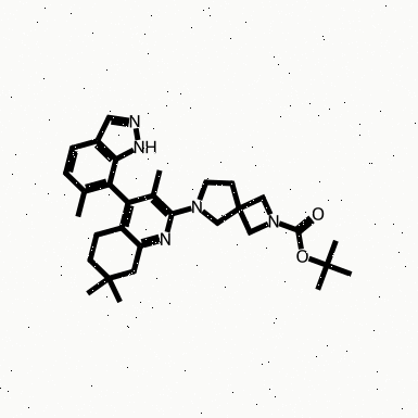 Cc1ccc2cn[nH]c2c1-c1c(C)c(N2CCC3(CN(C(=O)OC(C)(C)C)C3)C2)nc2c1CCC(C)(C)C2